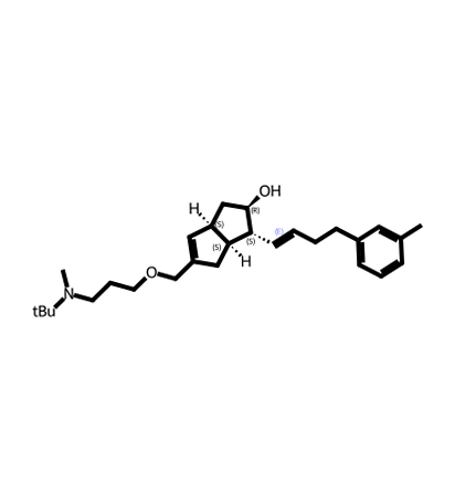 Cc1cccc(CC/C=C/[C@@H]2[C@H]3CC(COCCCN(C)C(C)(C)C)=C[C@H]3C[C@H]2O)c1